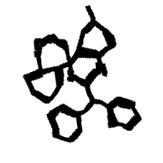 Cc1ccc2c(c1)C1(SC(C(c3ccccc3)c3ccccc3)=N2)c2ccccc2Sc2ccccc21